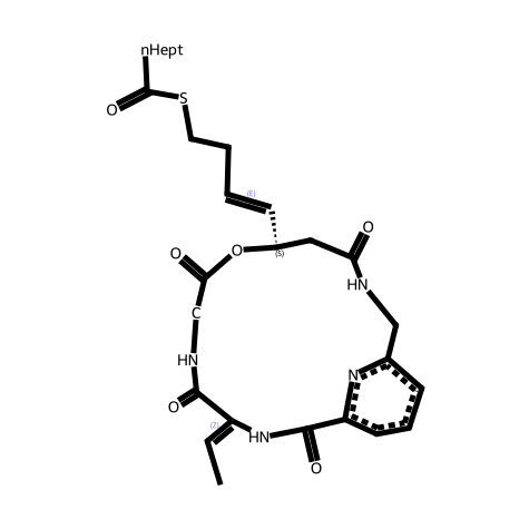 C/C=C1\NC(=O)c2cccc(n2)CNC(=O)C[C@@H](/C=C/CCSC(=O)CCCCCCC)OC(=O)CNC1=O